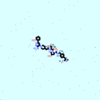 Cc1ncsc1-c1ccc(C(C)NC(=O)[C@@H]2C[C@@H](O)CN2C(=O)[C@@H](NC(=O)C=C2CCN(c3cc(-c4ccccc4O)nnc3N)CC2)C(C)(C)C)cc1